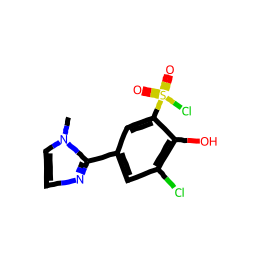 Cn1ccnc1-c1cc(Cl)c(O)c(S(=O)(=O)Cl)c1